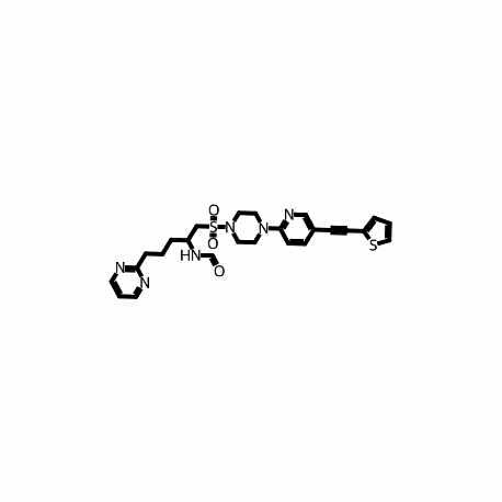 O=CNC(CCCc1ncccn1)CS(=O)(=O)N1CCN(c2ccc(C#Cc3cccs3)cn2)CC1